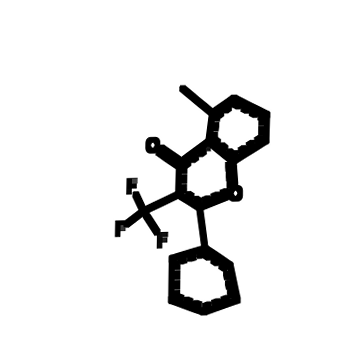 Cc1cccc2oc(-c3ccccc3)c(C(F)(F)F)c(=O)c12